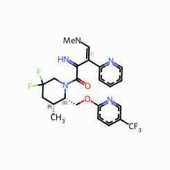 CN/C=C(\C(=N)C(=O)N1CC(F)(F)C[C@@H](C)[C@H]1COc1ccc(C(F)(F)F)cn1)c1ccccn1